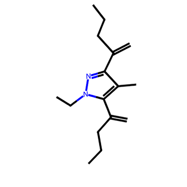 C=C(CCC)c1nn(CC)c(C(=C)CCC)c1C